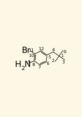 CC(C)(C)Cc1ccc(N)c(Br)c1